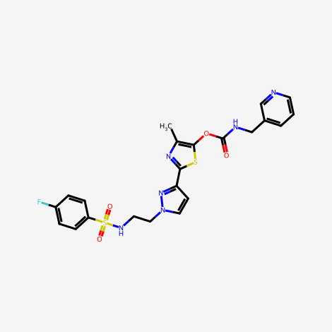 Cc1nc(-c2ccn(CCNS(=O)(=O)c3ccc(F)cc3)n2)sc1OC(=O)NCc1cccnc1